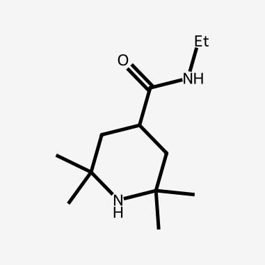 CCNC(=O)C1CC(C)(C)NC(C)(C)C1